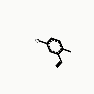 C=Cc1cc(Cl)ccc1C